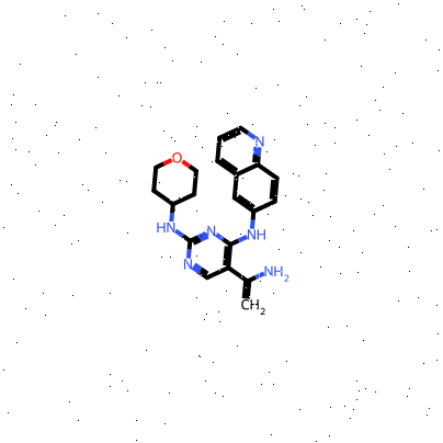 C=C(N)c1cnc(NC2CCOCC2)nc1Nc1ccc2ncccc2c1